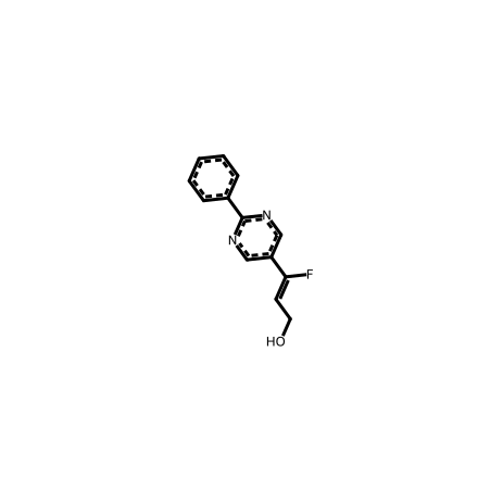 OCC=C(F)c1cnc(-c2ccccc2)nc1